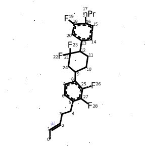 C/C=C/CCc1ccc(C2CCC(c3ccc(CCC)c(F)c3)C(F)(F)C2)c(F)c1F